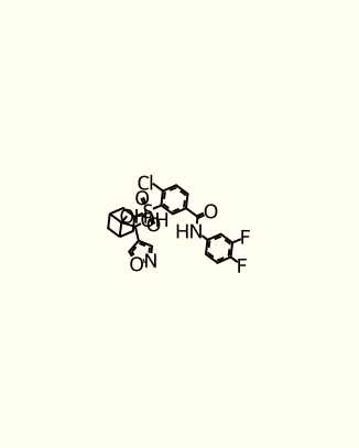 O=C(Nc1ccc(F)c(F)c1)c1ccc(Cl)c(S(=O)(=O)C2CC3CC(C2)C3(O)C(O)c2cnoc2)c1